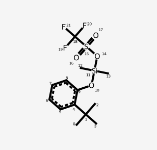 CC(C)(C)c1ccccc1O[Si](C)(C)OS(=O)(=O)C(F)(F)F